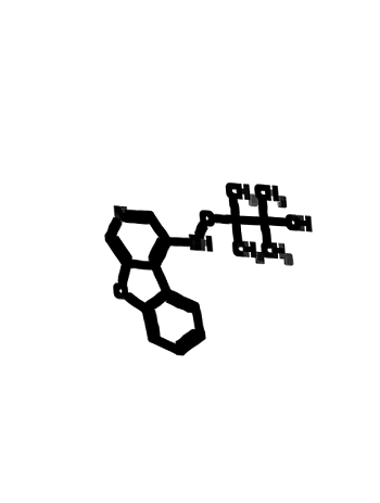 CC(C)(O)C(C)(C)OBc1cncc2oc3ccccc3c12